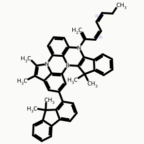 C=C(/C=C\C=C/CC)N1C2=C(B3c4c1cccc4-n1c(C)c(C)c4cc(-c5cccc6c5C(C)(C)c5ccccc5-6)cc3c41)C(C)(C)c1ccccc12